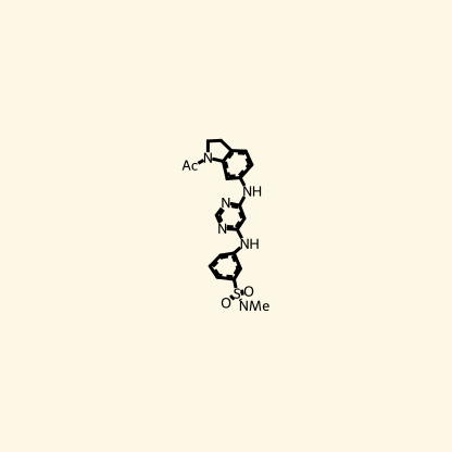 CNS(=O)(=O)c1cccc(Nc2cc(Nc3ccc4c(c3)N(C(C)=O)CC4)ncn2)c1